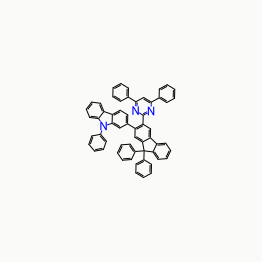 c1ccc(-c2cc(-c3ccccc3)nc(-c3cc4c(cc3-c3ccc5c6ccccc6n(-c6ccccc6)c5c3)C(c3ccccc3)(c3ccccc3)c3ccccc3-4)n2)cc1